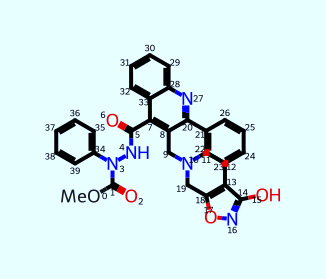 COC(=O)N(NC(=O)c1c(CN2CCc3c(O)noc3C2)c(-c2ccccc2)nc2ccccc12)c1ccccc1